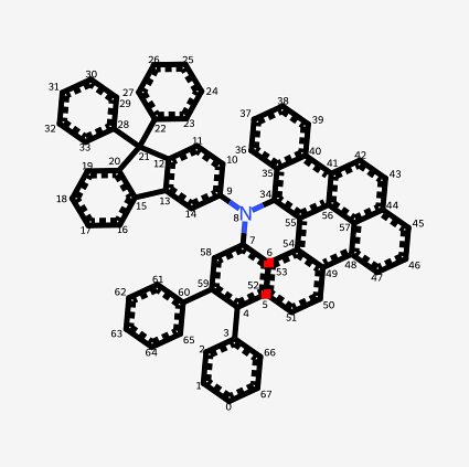 c1ccc(-c2ccc(N(c3ccc4c(c3)-c3ccccc3C4(c3ccccc3)c3ccccc3)c3c4ccccc4c4ccc5cccc6c7ccccc7c3c4c56)cc2-c2ccccc2)cc1